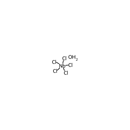 O.[Cl][Nb]([Cl])([Cl])([Cl])[Cl]